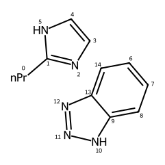 CCCc1ncc[nH]1.c1ccc2[nH]nnc2c1